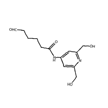 O=CCCCCC(=O)Nc1cc(CO)nc(CO)c1